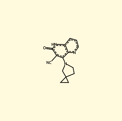 N#Cc1c(N2CCC3(CC3)C2)c2ncccc2[nH]c1=O